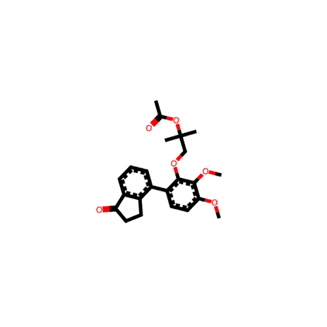 COc1ccc(-c2cccc3c2CCC3=O)c(OCC(C)(C)OC(C)=O)c1OC